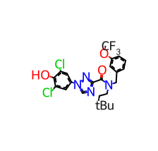 CC(C)(C)CCN(Cc1cccc(OC(F)(F)F)c1)C(=O)c1ncn(-c2cc(Cl)c(O)c(Cl)c2)n1